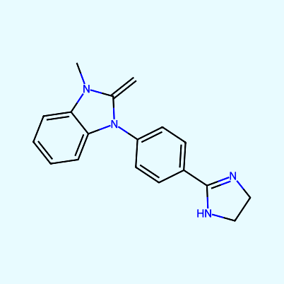 C=C1N(C)c2ccccc2N1c1ccc(C2=NCCN2)cc1